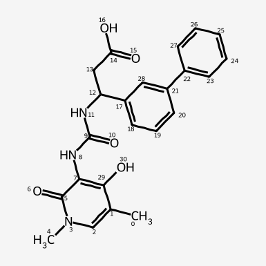 Cc1cn(C)c(=O)c(NC(=O)NC(CC(=O)O)c2cccc(-c3ccccc3)c2)c1O